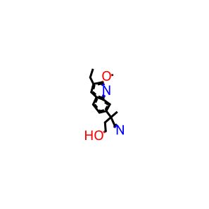 CCc1cc2ccc(C(C)(C#N)CCO)cc2nc1OC